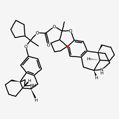 CC(OC(=O)OC(C)(Oc1ccc2c(c1)[C@@]13CCCC[C@H]1[C@@H](C2)NCC3)C1CCCC1)(Oc1ccc2c(c1)[C@@]13CCCC[C@H]1[C@@H](C2)NCC3)C1CCCC1